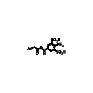 CC(=O)CC(=O)ONc1cc(S(=O)(=O)O)c(N)c(S(=O)(=O)O)c1